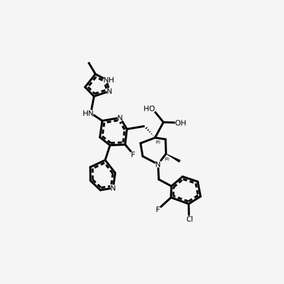 Cc1cc(Nc2cc(-c3cccnc3)c(F)c(C[C@@]3(C(O)O)CCN(Cc4cccc(Cl)c4F)[C@H](C)C3)n2)n[nH]1